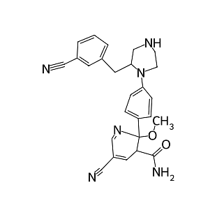 COC1(c2ccc(N3CCNCC3Cc3cccc(C#N)c3)cc2)N=CC(C#N)=CC1C(N)=O